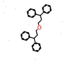 c1ccc(C(CCOCCC(c2ccccc2)c2ccccc2)c2ccccc2)cc1